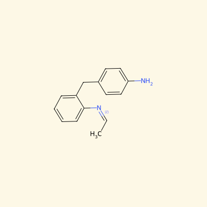 C/C=N\c1ccccc1Cc1ccc(N)cc1